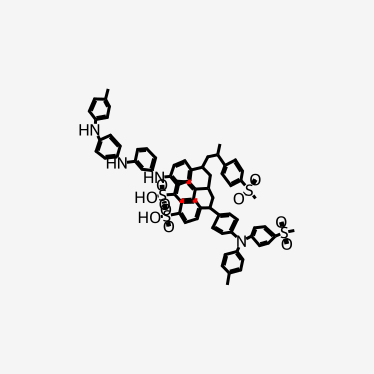 Cc1ccc(Nc2ccc(Nc3cccc(Nc4ccc(C(CC(C)c5ccc(S(C)(=O)=O)cc5)CC(CC(c5ccc(N(c6ccc(C)cc6)c6ccc(S(C)(=O)=O)cc6)cc5)c5ccc(S(=O)(=O)O)cc5)c5ccc(S(=O)(=O)O)cc5)cc4)c3)cc2)cc1